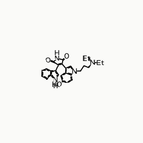 CCN(CC)CCCn1cc(C2=C(c3c[nH]c4ccccc34)C(=O)NC2=O)c2cc(O)ccc21